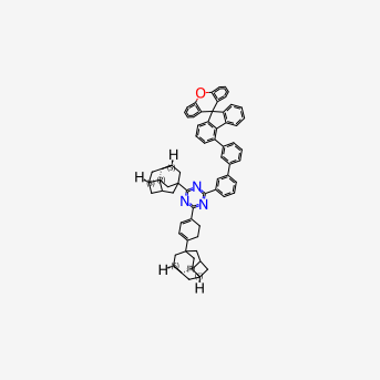 C1=C(c2nc(-c3cccc(-c4cccc(-c5cccc6c5-c5ccccc5C65c6ccccc6Oc6ccccc65)c4)c3)nc(C34CC5C[C@@H]6C[C@H](C3)C[C@]56C4)n2)CCC(C23CC4C[C@@H]5C[C@H](C2)C[C@]45C3)=C1